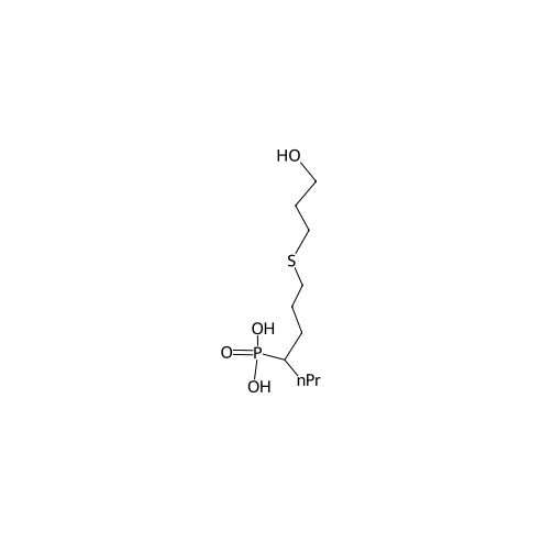 CCCC(CCCSCCCO)P(=O)(O)O